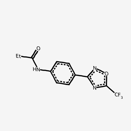 CCC(=O)Nc1ccc(-c2noc(C(F)(F)F)n2)cc1